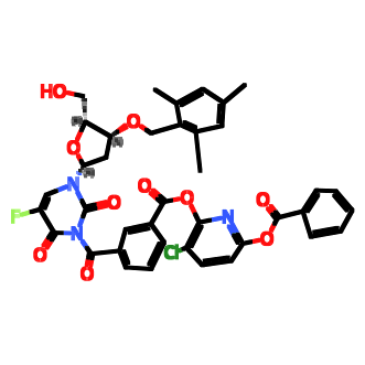 Cc1cc(C)c(CO[C@H]2C[C@H](n3cc(F)c(=O)n(C(=O)c4cccc(C(=O)Oc5nc(OC(=O)c6ccccc6)ccc5Cl)c4)c3=O)O[C@@H]2CO)c(C)c1